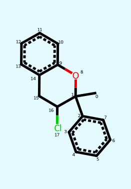 CC1(c2ccccc2)Oc2ccccc2CC1Cl